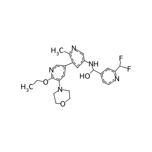 CCOc1ncc(-c2cc(NC(O)c3ccnc(C(F)F)c3)cnc2C)cc1N1CCOCC1